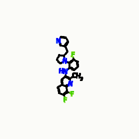 Cc1nc2c(F)c(F)ccc2cc1Nc1cccc(F)c1N1CCCC1Cc1cccnc1